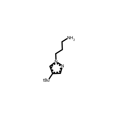 CC(C)(C)c1cnn(CCCN)c1